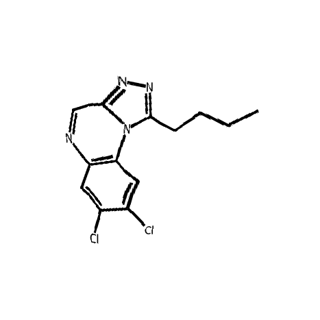 CCCCc1nnc2cnc3cc(Cl)c(Cl)cc3n12